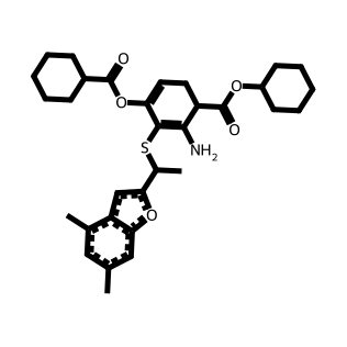 Cc1cc(C)c2cc(C(C)SC3=C(N)C(C(=O)OC4CCCCC4)CC=C3OC(=O)C3CCCCC3)oc2c1